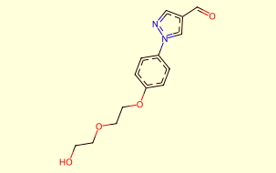 O=Cc1cnn(-c2ccc(OCCOCCO)cc2)c1